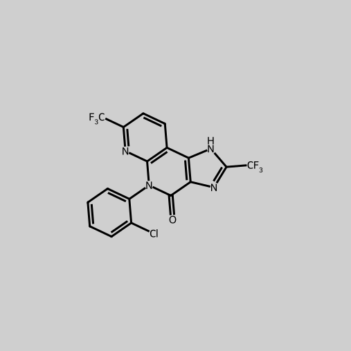 O=c1c2nc(C(F)(F)F)[nH]c2c2ccc(C(F)(F)F)nc2n1-c1ccccc1Cl